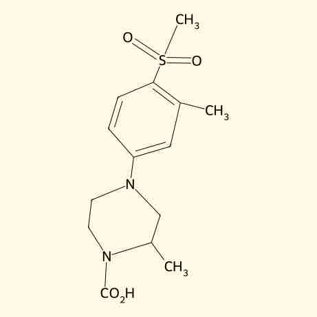 Cc1cc(N2CCN(C(=O)O)C(C)C2)ccc1S(C)(=O)=O